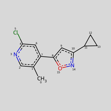 Cc1cnc(Cl)cc1-c1cc(C2CC2)no1